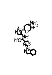 Cn1ncc(NC(O)c2csc(-n3ncc4ccccc43)n2)c1[C@@H]1CC[C@@H](N)[C@H](F)CO1